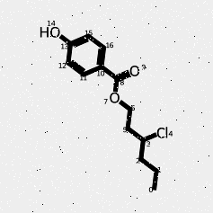 CCCC(Cl)CCOC(=O)c1ccc(O)cc1